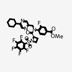 COC(=O)c1ccc(N(Cc2cnc(C3CCCCC3)cn2)C(=O)[C@H]2CCN2S(=O)(=O)c2c(F)c(F)c(F)c(F)c2F)c(F)c1